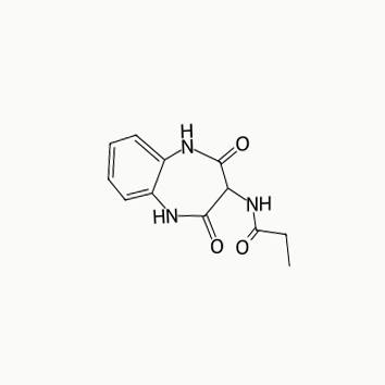 CCC(=O)NC1C(=O)Nc2ccccc2NC1=O